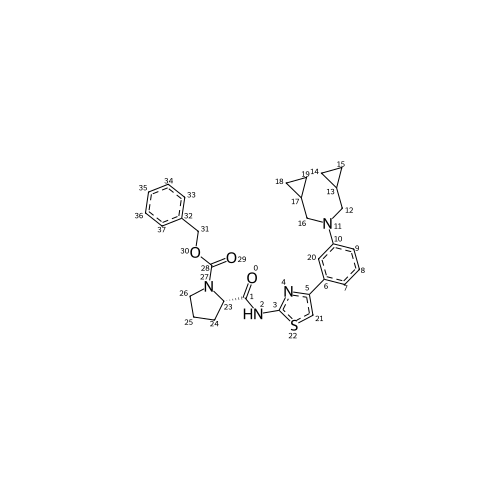 O=C(Nc1nc(-c2cccc(N(CC3CC3)CC3CC3)c2)cs1)[C@@H]1CCCN1C(=O)OCc1ccccc1